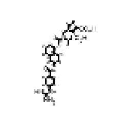 C[C@H](C(=O)O)N(Cc1csc(C(=O)O)c1)C(=O)C[C@H]1CCCc2cc(OC(=O)c3ccc(NC(=N)N)cc3)ccc21